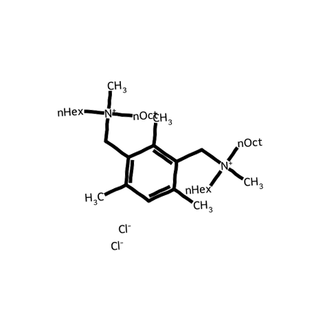 CCCCCCCC[N+](C)(CCCCCC)Cc1c(C)cc(C)c(C[N+](C)(CCCCCC)CCCCCCCC)c1C.[Cl-].[Cl-]